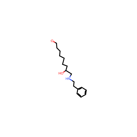 [O]CCCCCCCC(O)CNCCc1ccccc1